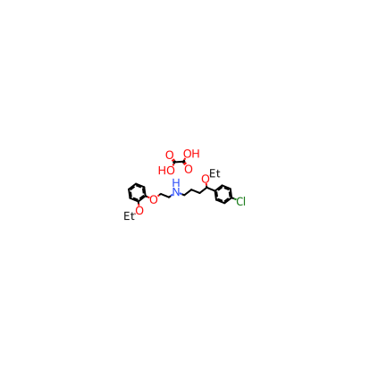 CCOc1ccccc1OCCNCCCC(OCC)c1ccc(Cl)cc1.O=C(O)C(=O)O